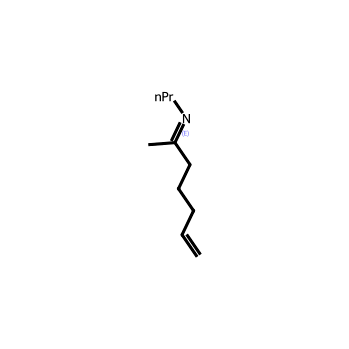 C=CCCC/C(C)=N/CCC